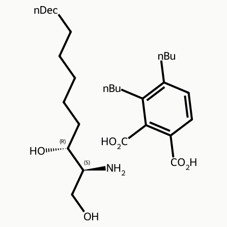 CCCCCCCCCCCCCCC[C@@H](O)[C@@H](N)CO.CCCCc1ccc(C(=O)O)c(C(=O)O)c1CCCC